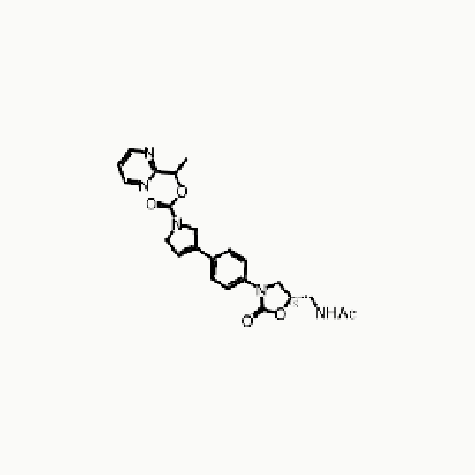 CC(=O)NC[C@H]1CN(c2ccc(C3=CCN(C(=O)OC(C)c4ncccn4)C3)cc2)C(=O)O1